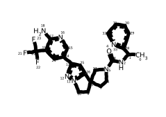 CC(NC(=O)N1CCC2(CCn3nc(-c4cnc(N)c(C(F)(F)F)c4)cc32)C1)c1ccccn1